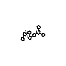 c1ccc(-c2ccc3oc4cccc(-c5ncccc5-c5ccc(-c6cc(-c7ccccc7)nc(-c7ccccc7)n6)cc5)c4c3c2)cc1